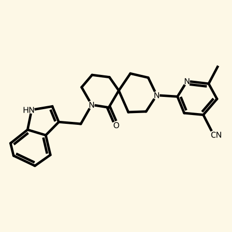 Cc1cc(C#N)cc(N2CCC3(CCCN(Cc4c[nH]c5ccccc45)C3=O)CC2)n1